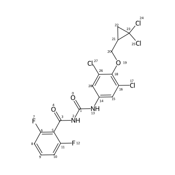 O=C(NC(=O)c1c(F)cccc1F)Nc1cc(Cl)c(OCC2CC2(Cl)Cl)c(Cl)c1